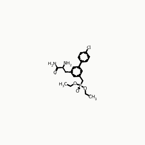 CCOP(=O)(Cc1cc(CC(N)C(N)=O)cc(-c2ccc(Cl)cc2)c1)OCC